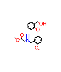 COC(=O)CNCc1ccccc1OC.COc1ccccc1CO